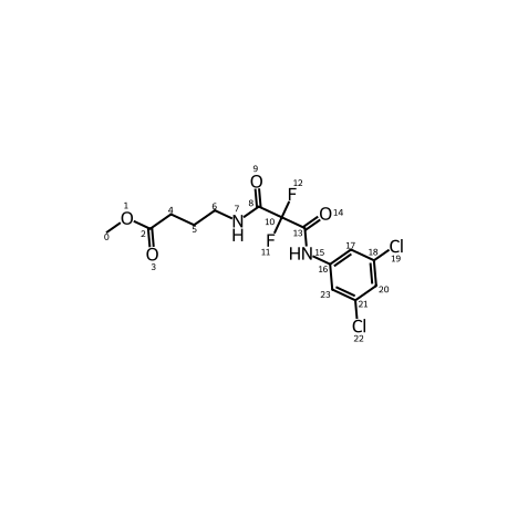 COC(=O)CCCNC(=O)C(F)(F)C(=O)Nc1cc(Cl)cc(Cl)c1